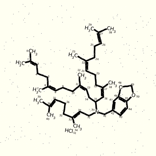 CC(C)=CCCC(C)=CCCC(C)=CCC(C=C(C)CCC=C(C)CCC=C(C)C)N(C/C=C(\C)CCC=C(C)C)Cc1ccc2c(c1)OCO2.Cl